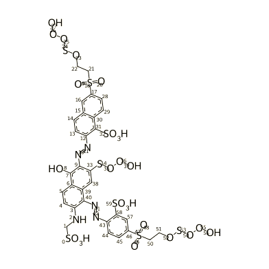 O=S(=O)(O)CNc1ccc2c(O)c(/N=N/c3ccc4cc(S(=O)(=O)CCOSOOO)ccc4c3S(=O)(=O)O)c(SOOO)cc2c1/N=N/c1ccc(S(=O)(=O)CCOSOOO)cc1S(=O)(=O)O